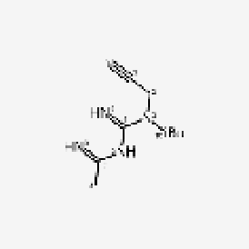 C#CCN(C(=N)NC(C)=N)C(C)CC